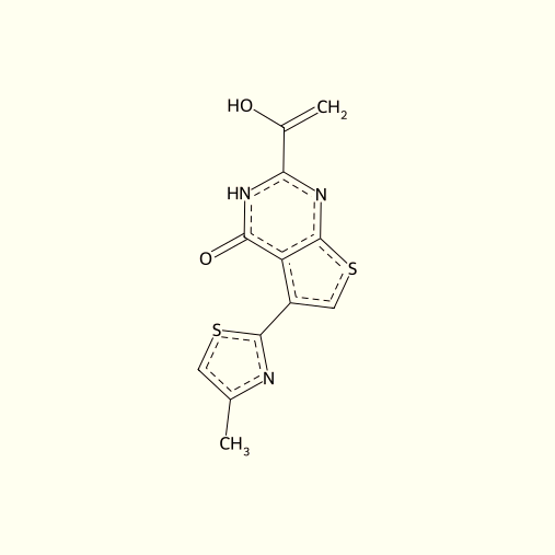 C=C(O)c1nc2scc(-c3nc(C)cs3)c2c(=O)[nH]1